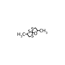 CC1CSC2(O1)SCC(C)S2